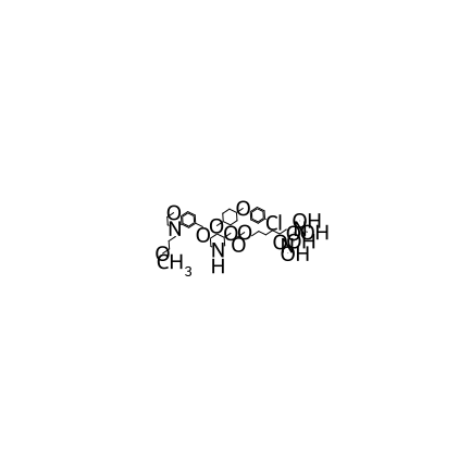 COCCCN1CCOc2ccc(COC3CNCC(OC(=O)OCCCCC(CON(O)O)ON(O)O)C3OC3CCC(Oc4ccc(Cl)cc4)CC3)cc21